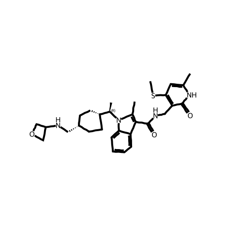 CSc1cc(C)[nH]c(=O)c1CNC(=O)c1c(C)n([C@H](C)[C@H]2CC[C@@H](CNC3COC3)CC2)c2ccccc12